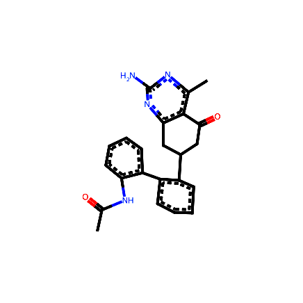 CC(=O)Nc1ccccc1-c1ccccc1C1CC(=O)c2c(C)nc(N)nc2C1